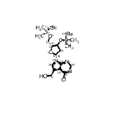 CC(C)(C)[Si](C)(C)OC[C@H]1O[C@@H](n2cc(CO)c3c(Cl)ncnc32)CC1O[Si](C)(C)C(C)(C)C